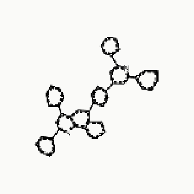 c1ccc(-c2cc(-c3ccc(-c4cc5c(-c6ccccc6)cc(-c6ccccc6)nc5c5ccccc45)cc3)cc(-c3ccccc3)n2)cc1